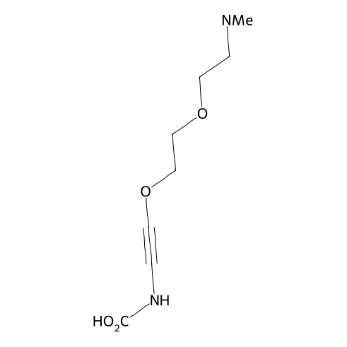 CNCCOCCOC#CNC(=O)O